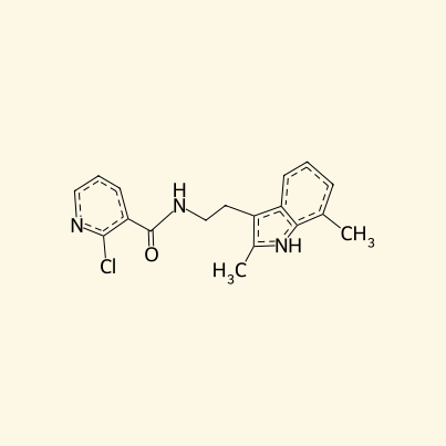 Cc1[nH]c2c(C)cccc2c1CCNC(=O)c1cccnc1Cl